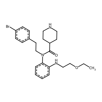 CCOCCNc1ccccc1N(CCc1ccc(Br)cc1)C(=O)C1CCNCC1